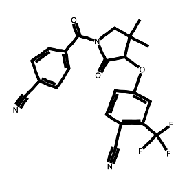 CC1(C)CN(C(=O)c2ccc(C#N)cc2)C(=O)C1Oc1ccc(C#N)c(C(F)(F)F)c1